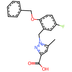 Cc1cc(C(=O)O)nn1Cc1cc(F)ccc1OCc1ccccc1